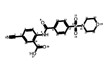 N#Cc1ccc(NC(=O)c2ccc(S(=O)(=O)N3CCOCC3)cc2)c(C(=O)O)c1